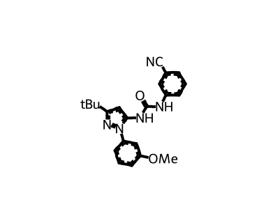 COc1cccc(-n2nc(C(C)(C)C)cc2NC(=O)Nc2cccc(C#N)c2)c1